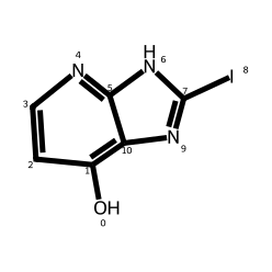 Oc1ccnc2[nH]c(I)nc12